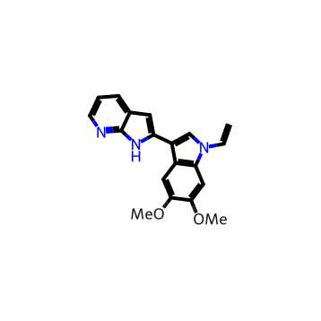 C=Cn1cc(-c2cc3cccnc3[nH]2)c2cc(OC)c(OC)cc21